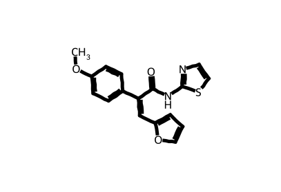 COc1ccc(C(=Cc2ccco2)C(=O)Nc2nccs2)cc1